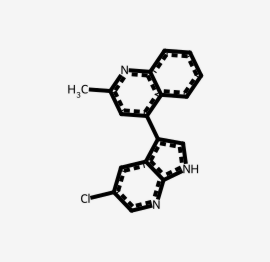 Cc1cc(-c2c[nH]c3ncc(Cl)cc23)c2ccccc2n1